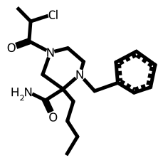 CCCCC1(C(N)=O)CN(C(=O)C(C)Cl)CCN1Cc1ccccc1